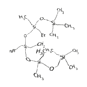 CCC[Si](C)(O[Si](C)(C)O[Si](C)(C)C)O[Si](C)(CC)O[Si](C)(C)C